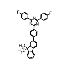 CC1(C)c2ccccc2-c2ccc(-c3ccc(-c4nc(-c5ccc(F)cc5)nc(-c5ccc(F)cc5)n4)cc3)cc21